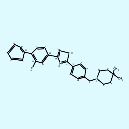 CC1(C)CCN(Cc2ccc(-c3nc(-c4ccc(-c5ccccc5)c(F)c4)no3)cc2)CC1